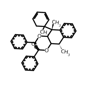 C[C@H]1c2ccccc2[C@@](C)(C2(C)C=CC=CC2)C(OC(=O)c2ccccc2)C1OC(=O)c1ccccc1